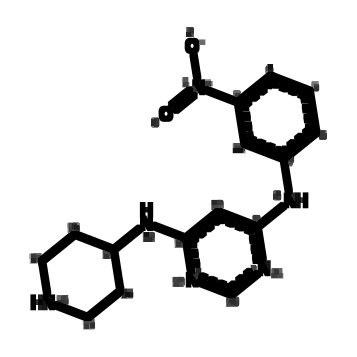 O=[N+]([O-])c1cccc(Nc2cc(NC3CCNCC3)ncn2)c1